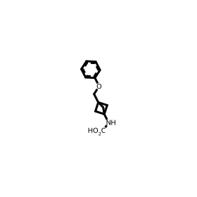 O=C(O)NC12CC(COc3ccccc3)(C1)C2